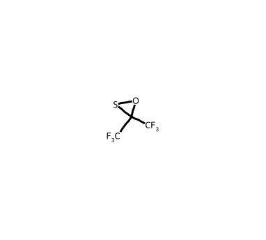 FC(F)(F)C1(C(F)(F)F)OS1